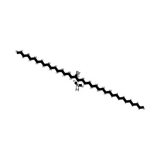 CCCCCCCCCCCCCCCCCCCCC(Br)CCCCCCCCCCCCCCCCC.CNC